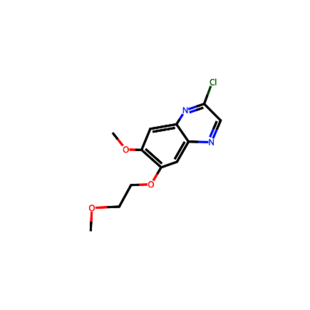 COCCOc1cc2ncc(Cl)nc2cc1OC